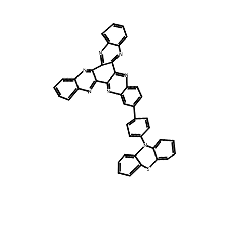 c1ccc2c(c1)Sc1ccccc1N2c1ccc(-c2ccc3nc4c5nc6ccccc6nc5c5nc6ccccc6nc5c4nc3c2)cc1